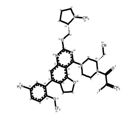 C=C(F)C(=O)N1CCN(c2nc(OC[C@@H]3CCCN3C)nc3cc(-c4cc(N)ccc4OC(F)(F)F)c4c(c23)OCC4)C[C@@H]1CC#N